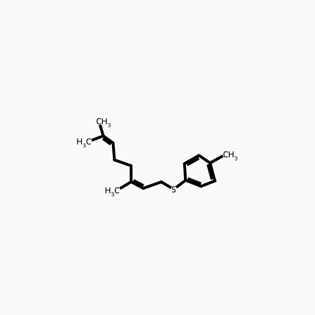 CC(C)=CCCC(C)=CCSc1ccc(C)cc1